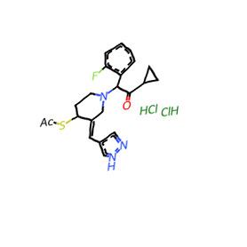 CC(=O)SC1CCN(C(C(=O)C2CC2)c2ccccc2F)CC1=Cc1cn[nH]c1.Cl.Cl